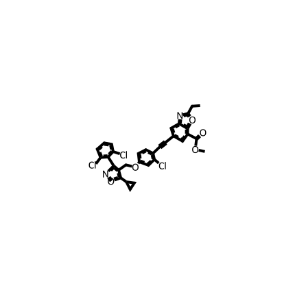 CCc1nc2cc(C#Cc3ccc(OCc4c(-c5c(Cl)cccc5Cl)noc4C4CC4)cc3Cl)cc(C(=O)OC)c2o1